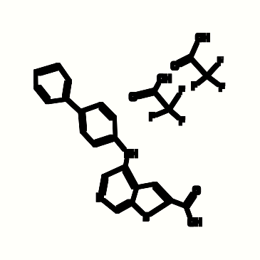 O=C(O)C(F)(F)F.O=C(O)C(F)(F)F.O=C(O)c1cc2c(Nc3ccc(-c4ccccc4)cc3)cncc2s1